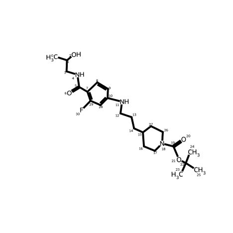 CC(O)CNC(=O)c1ccc(NCCCC2CCN(C(=O)OC(C)(C)C)CC2)cc1F